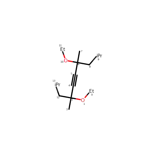 CCOC(C)(C#CC(C)(CC(C)C)OCC)CC(C)C